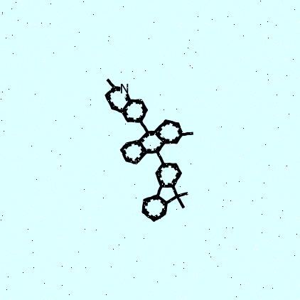 Cc1ccc2c(-c3ccc4nc(C)ccc4c3)c3ccccc3c(-c3ccc4c(c3)-c3ccccc3C4(C)C)c2c1